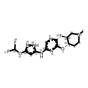 CN1CC[C@H](Oc2cncc(Nc3cc(OC(F)F)n[nH]3)n2)[C@@H](F)C1